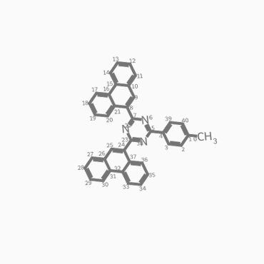 Cc1ccc(-c2nc(-c3cc4ccccc4c4ccccc34)nc(-c3cc4ccccc4c4ccccc34)n2)cc1